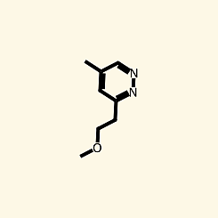 COCCc1cc(C)cnn1